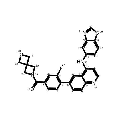 O=C(c1ccc(-c2ccc3nccc(Nc4ccc5scnc5c4)c3c2)c(F)c1)N1CC2(COC2)C1